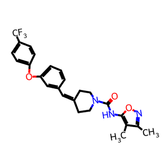 Cc1noc(NC(=O)N2CCC(=Cc3cccc(Oc4ccc(C(F)(F)F)cc4)c3)CC2)c1C